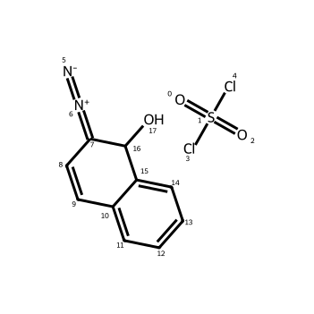 O=S(=O)(Cl)Cl.[N-]=[N+]=C1C=Cc2ccccc2C1O